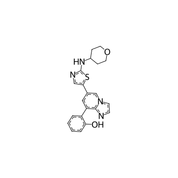 Oc1ccccc1-c1cc(-c2cnc(NC3CCOCC3)s2)cn2ccnc12